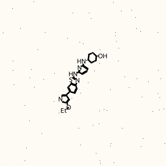 CCOc1cncc(-c2ccc3nc(Nc4cccc(N[C@H]5CC[C@H](O)CC5)n4)sc3c2)c1